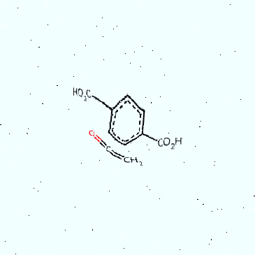 C=C=O.O=C(O)c1ccc(C(=O)O)cc1